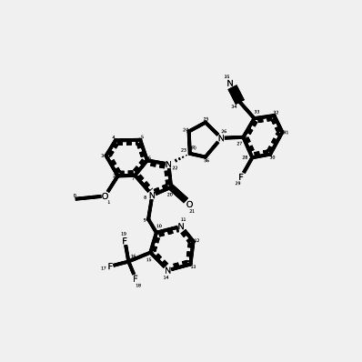 COc1cccc2c1n(Cc1nccnc1C(F)(F)F)c(=O)n2[C@@H]1CCN(c2c(F)cccc2C#N)C1